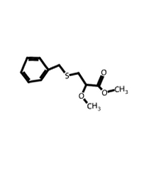 COC(=O)C(CSCc1ccccc1)OC